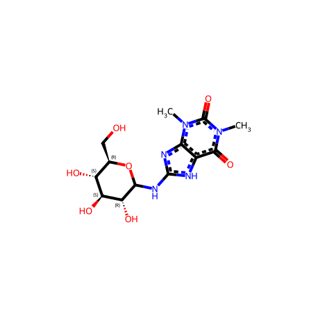 Cn1c(=O)c2[nH]c(NC3O[C@H](CO)[C@@H](O)[C@H](O)[C@H]3O)nc2n(C)c1=O